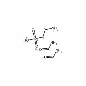 NC=O.NC=O.NCCS(=O)(=O)O